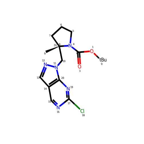 CC(C)(C)OC(=O)N1CCC[C@@]1(C)Cn1ncc2cnc(Cl)nc21